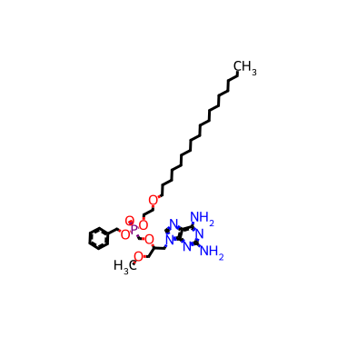 CCCCCCCCCCCCCCCCCCOCCOP(=O)(COC(COC)Cn1cnc2c(N)nc(N)nc21)OCc1ccccc1